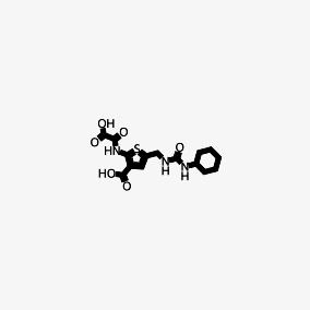 O=C(NCc1cc(C(=O)O)c(NC(=O)C(=O)O)s1)NC1CCCCC1